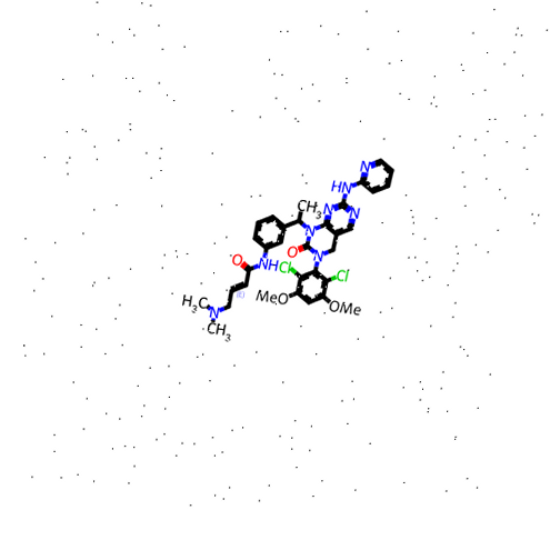 COc1cc(OC)c(Cl)c(N2Cc3cnc(Nc4ccccn4)nc3N(C(C)c3cccc(NC(=O)/C=C/CN(C)C)c3)C2=O)c1Cl